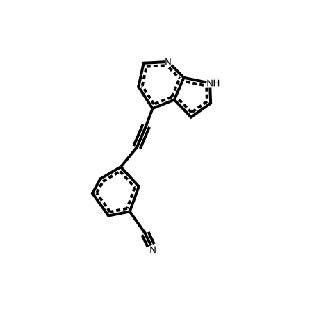 N#Cc1cccc(C#Cc2ccnc3[nH]ccc23)c1